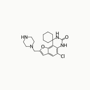 O=C1Nc2c(Cl)cc3cc(CN4CCNCC4)oc3c2C2(CCCCC2)N1